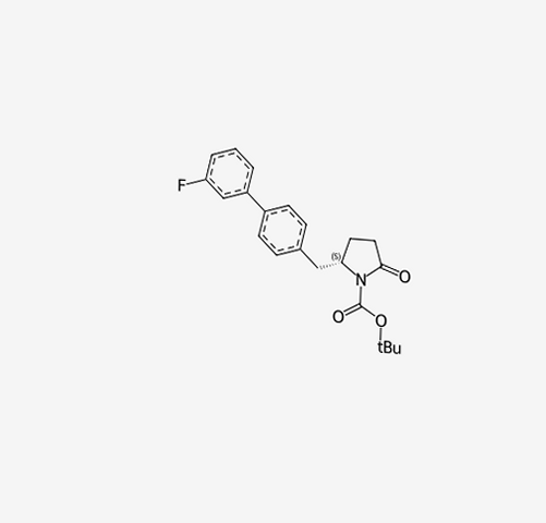 CC(C)(C)OC(=O)N1C(=O)CC[C@H]1Cc1ccc(-c2cccc(F)c2)cc1